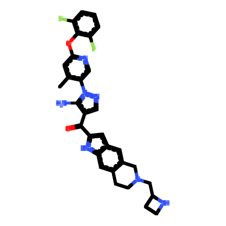 Cc1cc(Oc2c(F)cccc2F)ncc1-n1ncc(C(=O)c2cc3cc4c(cc3[nH]2)CCN(CC2CCN2)C4)c1N